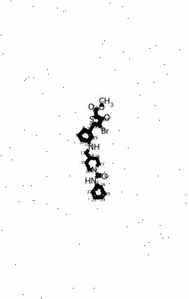 COC(=O)c1sc(-c2cccc(NCC3CCN(C(=O)Nc4ccccc4)CC3)c2)c(Br)c1[O]